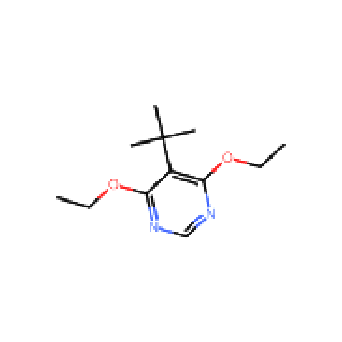 CCOc1ncnc(OCC)c1C(C)(C)C